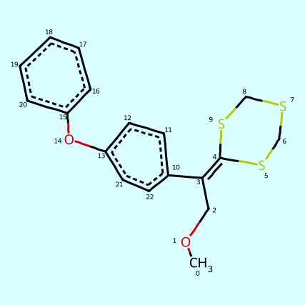 COCC(=C1SCSCS1)c1ccc(Oc2ccccc2)cc1